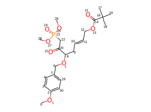 COc1ccc(COC(C/C=C/COC(=O)C(C)(C)C)C(=O)CP(=O)(OC)OC)cc1